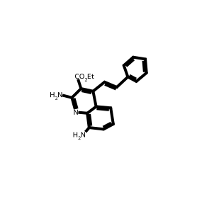 CCOC(=O)c1c(N)nc2c(N)cccc2c1C=Cc1ccccc1